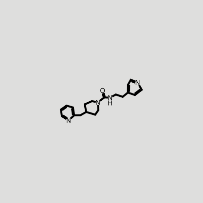 O=C(NCCc1ccncc1)N1CCC(Cc2ccccn2)CC1